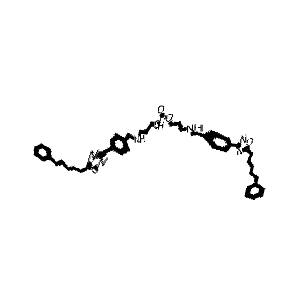 O=[PH](OCCCNCc1ccc(-c2noc(CCCCCc3ccccc3)n2)cc1)OCCCNCc1ccc(-c2noc(CCCCCc3ccccc3)n2)cc1